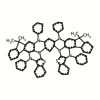 CC1(C)c2ccccc2-c2c1cc1c3c2N(c2ccccc2)c2c(sc4ccccc24)B3c2cc3c(cc2N1c1ccccc1)N(c1ccccc1)c1cc2c(c4c1B3c1sc3ccccc3c1N4c1ccccc1)-c1ccccc1C2(C)C